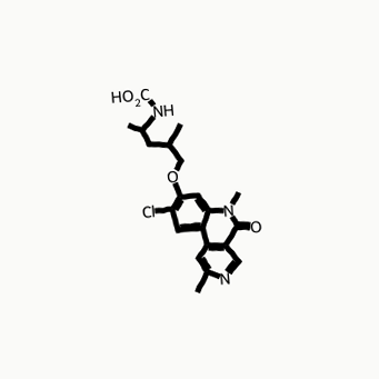 Cc1cc2c(cn1)c(=O)n(C)c1cc(OCC(C)CC(C)NC(=O)O)c(Cl)cc21